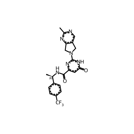 Cc1ncc2c(n1)CN(c1nc(C(=O)N[C@H](C)c3ccc(C(F)(F)F)cc3)cc(=O)[nH]1)C2